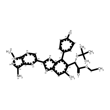 CCOC(=O)[C@@H](OC(C)(C)C)c1c(C)cc2nc(-c3cnc4c(n3)c(N)nn4C)sc2c1-c1ccc(Cl)cc1